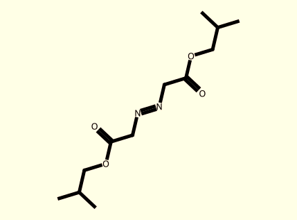 CC(C)COC(=O)CN=NCC(=O)OCC(C)C